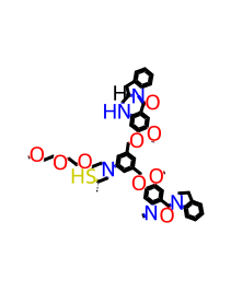 C=Nc1cc(OCc2cc(COc3cc4c(cc3OC)C(=O)N3c5ccccc5C[C@H]3CN4)cc(N(CCOCCOCCOC)C[C@H](C)S)c2)c(OC)cc1C(=O)N1CCc2ccccc21